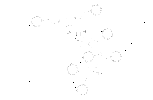 C[C@@](Cc1ccc(OP(=O)(OCc2ccccc2)OCc2ccccc2)c(OCc2ccccc2)c1)(NNC(=O)C(O)(CC(=O)OCc1ccccc1)CC(=O)OCc1ccccc1)C(=O)OCc1ccccc1